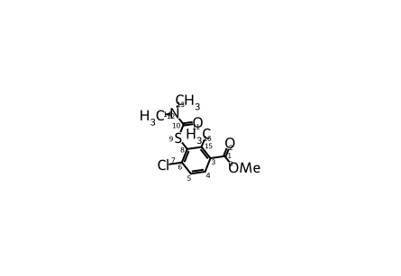 COC(=O)c1ccc(Cl)c(SC(=O)N(C)C)c1C